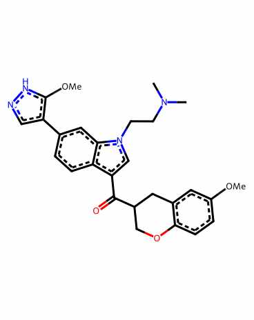 COc1ccc2c(c1)CC(C(=O)c1cn(CCN(C)C)c3cc(-c4cn[nH]c4OC)ccc13)CO2